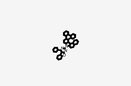 c1ccc(-c2nc(-n3c4ccc5ccccc5c4c4c5c6ccccc6c6ccccc6c5ccc43)nc3oc4ccccc4c23)cc1